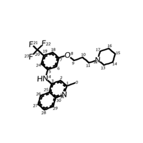 Cc1cc(Nc2cc(OCCCN3CCCCC3)cc(C(F)(F)F)c2)c2ccccc2n1